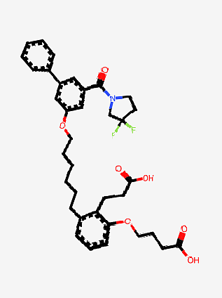 O=C(O)CCCOc1cccc(CCCCCCOc2cc(C(=O)N3CCC(F)(F)C3)cc(-c3ccccc3)c2)c1CCC(=O)O